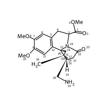 COC(=O)C1Cc2cc(OC)c(OC)cc2[C@@]23C[C@H](C)[C@@H](CN)[C@@H]2CC(=O)N13